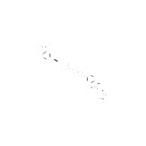 O=C1CCC(N2C(=O)c3ccc(N4CC5(CC(N6CCC(C#Cc7ccc8c(c7)C(=O)NC8)CC6)C5)C4)cc3C2=O)C(=O)N1